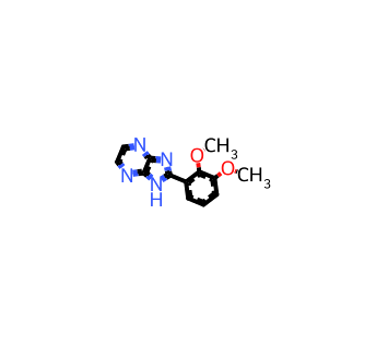 COc1cccc(-c2nc3nccnc3[nH]2)c1OC